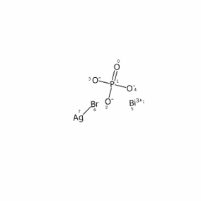 O=P([O-])([O-])[O-].[Bi+3].[Br][Ag]